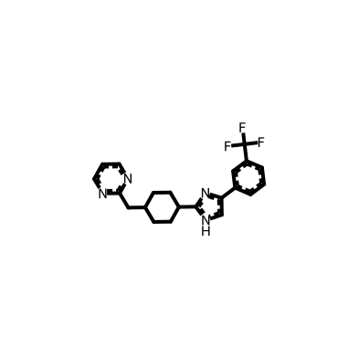 FC(F)(F)c1cccc(-c2c[nH]c(C3CCC(Cc4ncccn4)CC3)n2)c1